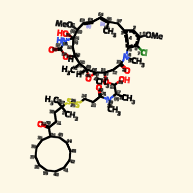 COc1cc2cc(c1Cl)N(C)C(=O)C[C@@H](OC(O)[C@@H](C)N(C)C(=O)CCSSC(C)(C)CCC(=O)C1CCCCCCCCCCC1)[C@@]1(C)O[C@@H]1[C@@H](C)[C@H]1C[C@](O)(NC(=O)O1)[C@@H](OC)/C=C/C=C(\C)C2